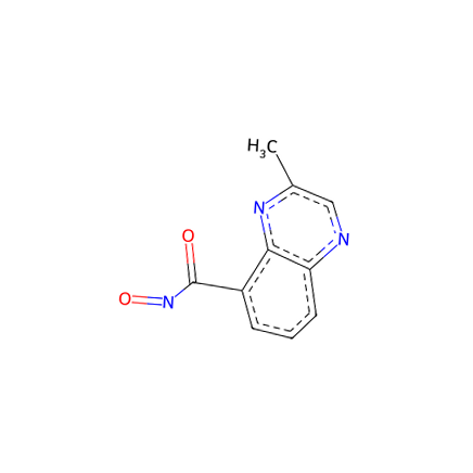 Cc1cnc2cccc(C(=O)N=O)c2n1